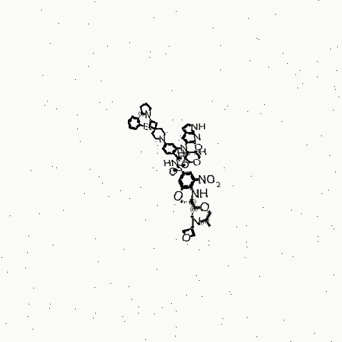 CCc1ccccc1[C@@H]1CCCN1C1CC2(CCN(c3ccc(C(=O)NS(=O)(=O)c4cc5c(c([N+](=O)[O-])c4)N[C@H]([C@H]4CN(C6COC6)[C@H](C)CO4)CO5)c(N4c5cc6cc[nH]c6nc5O[C@H]5COCC[C@H]54)c3)CC2)C1